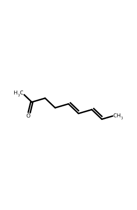 CC=CC=CCCC(C)=O